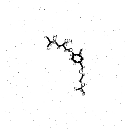 Cc1cc(COCCOC(C)C)ccc1OCC(O)CNC(C)C